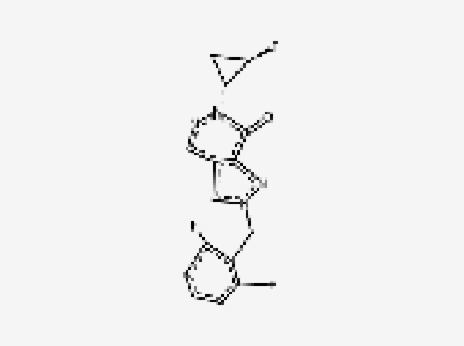 O=c1c2nn(Cc3c(F)cccc3F)cc2cnn1[C@@H]1C[C@H]1F